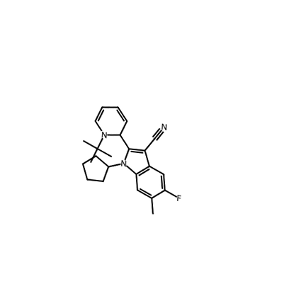 Cc1cc2c(cc1F)c(C#N)c(C1C=CC=CN1C(C)(C)C)n2C1CCCC1